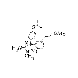 COCC=Cc1cccc([C@]2(c3ccc(OC(F)F)cc3)N=C(N)N(C)C2=O)c1